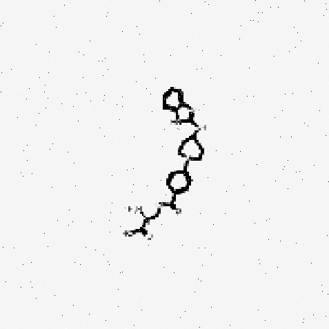 N[C@@H](CNC(=O)c1ccc(N2CCC(Nc3nc4ccccc4[nH]3)CC2)cc1)C(=O)O